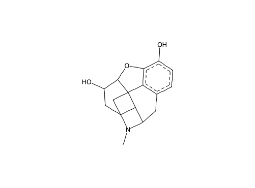 CN1C2Cc3ccc(O)c4c3C35CC1(CC(O)C3O4)C25